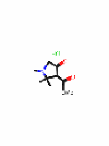 COC(=O)C1C(=O)CN(C)C1(C)C.Cl